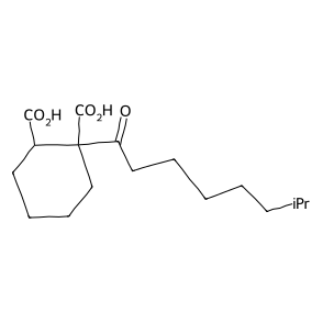 CC(C)CCCCCC(=O)C1(C(=O)O)CCCCC1C(=O)O